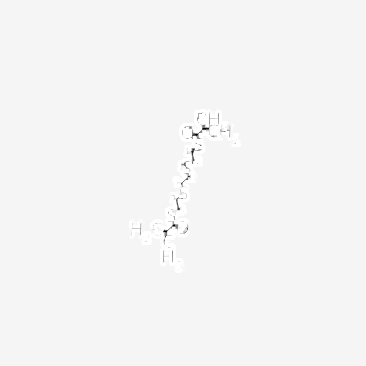 C=C(C)C(=O)SCCSCCSCCSC(=O)C(=C)C